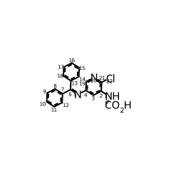 O=C(O)Nc1cc(N=C(c2ccccc2)c2ccccc2)cnc1Cl